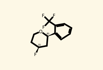 F[C@H]1CCO[C@@H](c2ccccc2C(F)(F)F)C1